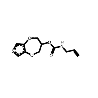 C=CCNC(=O)OC1COc2cscc2OC1